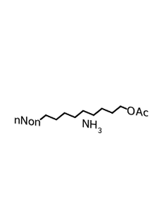 CCCCCCCCCCCCCCCCCCOC(C)=O.N